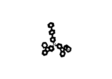 c1ccc(-c2ccc(-c3ccc(N(c4ccc5c(c4)-c4ccccc4C54C5CCC6CC(C5)CC4C6)c4ccc5c(c4)C4(CCCCC4)c4ccccc4-5)cc3)cc2)cc1